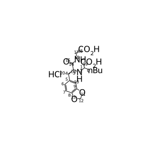 CCCCC(N[C@@H](Cc1ccc2c(c1)OCO2)C(=O)NCC(=O)O)C(=O)O.Cl